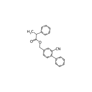 CC(C(=O)OCc1ccc(-c2ccccc2)c(C#N)c1)c1ccccc1